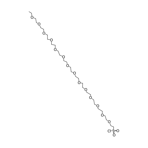 CCOCCOCCOCCOCCOCCOCCOCCOCCOCCOCCOCCOCCOCCOCCS(=O)(=O)Cl